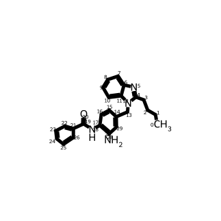 CCCCc1nc2ccccc2n1Cc1ccc(NC(=O)c2ccccc2)c(N)c1